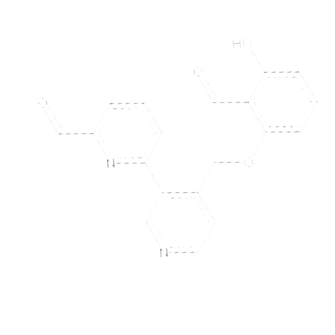 O=Cc1cccc(-c2cnccc2COc2cccc(O)c2C=O)n1